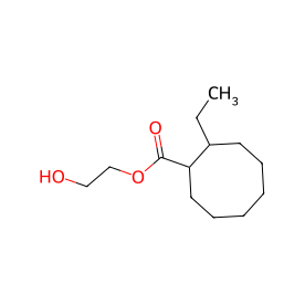 CCC1CCCCCCC1C(=O)OCCO